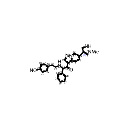 CN/C=C(\C=N)c1ccc2c(C(=O)C(NCCc3ccc(C#N)cc3)c3ccccc3)cnn2c1